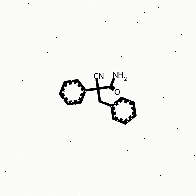 N#CC(Cc1ccccc1)(C(N)=O)c1ccccc1